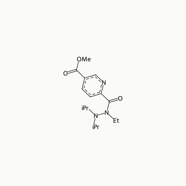 CCN(C(=O)c1ccc(C(=O)OC)cn1)N(C(C)C)C(C)C